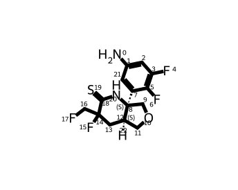 Nc1cc(F)c(F)c([C@]23COC[C@H]2CC(F)(CF)C(=S)N3)c1